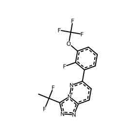 CC(F)(F)c1nnc2ccc(-c3cccc(OC(F)(F)F)c3F)nn12